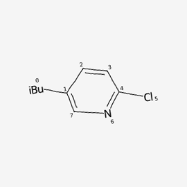 CCC(C)c1ccc(Cl)nc1